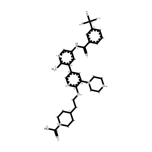 Cc1ncc(NC(=O)c2cccc(C(F)(F)F)c2)cc1-c1cnc(OCCC2CCN(C(=O)O)CC2)c(N2CCOCC2)c1